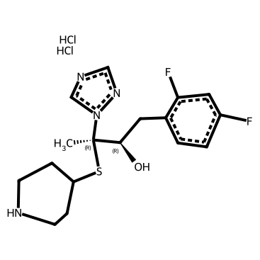 C[C@@](SC1CCNCC1)([C@H](O)Cc1ccc(F)cc1F)n1cncn1.Cl.Cl